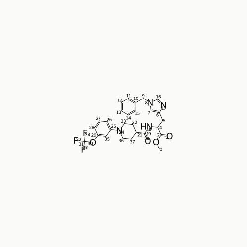 COC(=O)C(Cc1cn(Cc2ccccc2)cn1)NC(=O)C1CCN(c2cccc(OC(F)(F)F)c2)CC1